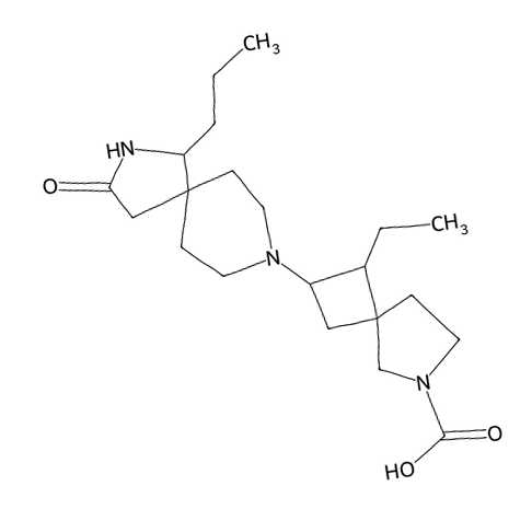 CCCC1NC(=O)CC12CCN(C1CC3(CCN(C(=O)O)C3)C1CC)CC2